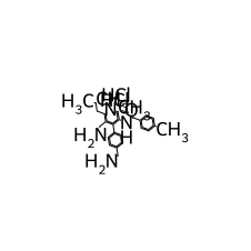 Cc1ccc(C(=O)Nc2c(C)nc(CC(C)C)c(CN)c2-c2ccc(CN)cc2)cc1.Cl.Cl